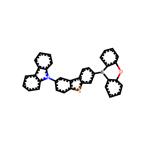 c1ccc2c(c1)Oc1ccccc1B2c1ccc2c(c1)sc1ccc(-n3c4ccccc4c4ccccc43)cc12